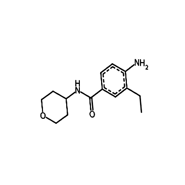 CCc1cc(C(=O)NC2CCOCC2)ccc1N